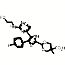 CC1(C(=O)O)COC(c2nc(-c3ccc(F)cc3)c(-c3ccnc(NCCO)n3)[nH]2)OC1